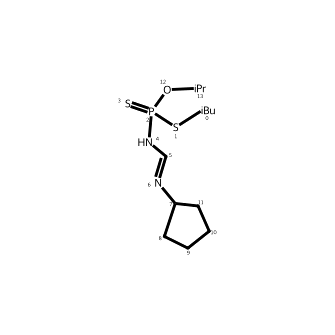 CCC(C)SP(=S)(NC=NC1CCCC1)OC(C)C